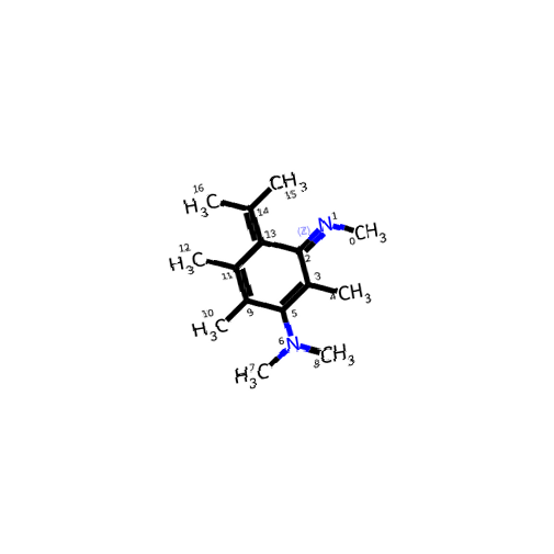 C/N=C1\C(C)=C(N(C)C)C(C)=C(C)C1=C(C)C